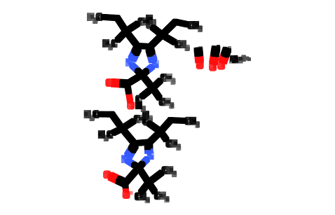 CCC(C)(C)C1=NC(C(=O)[O-])(C(C)(C)C)N=C1C(C)(C)CC.CCC(C)(C)C1=NC(C(=O)[O-])(C(C)(C)C)N=C1C(C)(C)CC.[C]=O.[C]=O.[C]=O.[Mn+2]